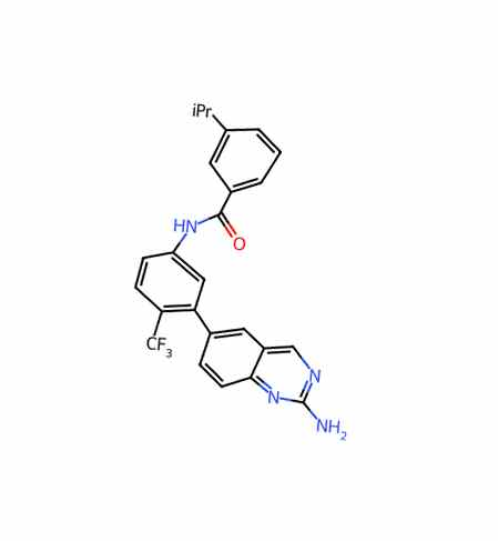 CC(C)c1cccc(C(=O)Nc2ccc(C(F)(F)F)c(-c3ccc4nc(N)ncc4c3)c2)c1